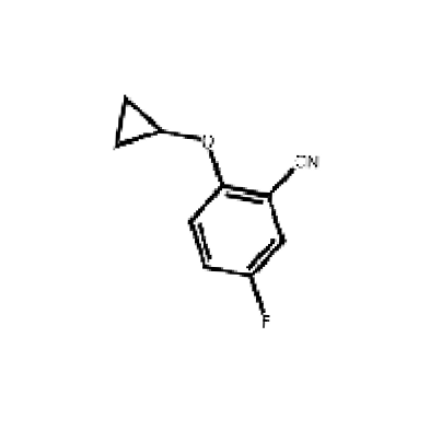 N#Cc1cc(F)ccc1OC1CC1